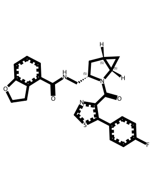 O=C(NC[C@@H]1C[C@@H]2C[C@@H]2N1C(=O)c1ncsc1-c1ccc(F)cc1)c1cccc2c1CCO2